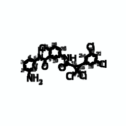 Nc1cccc(NC(=O)c2cc(NC(=O)C3C(c4cc(Cl)cc(Cl)c4)C3(Cl)Cl)ccc2Cl)n1